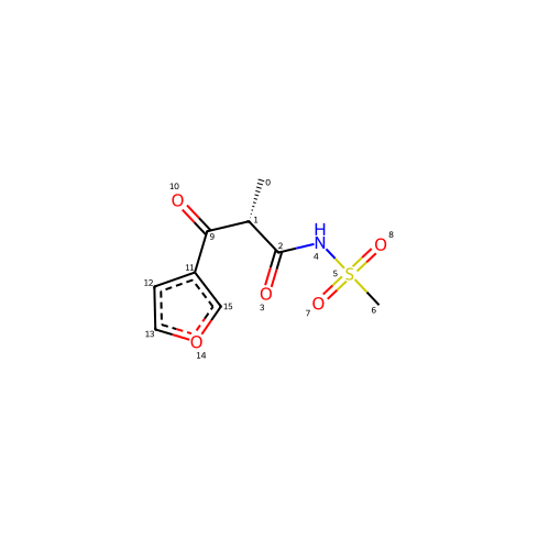 C[C@H](C(=O)NS(C)(=O)=O)C(=O)c1ccoc1